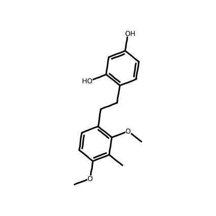 COc1ccc(CCc2ccc(O)cc2O)c(OC)c1C